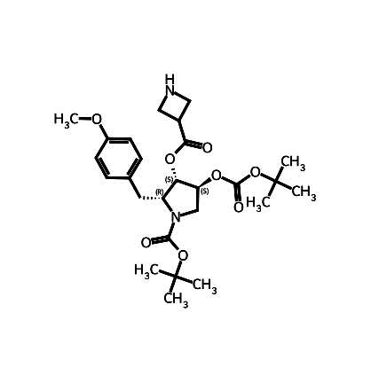 COc1ccc(C[C@@H]2[C@H](OC(=O)C3CNC3)[C@@H](OC(=O)OC(C)(C)C)CN2C(=O)OC(C)(C)C)cc1